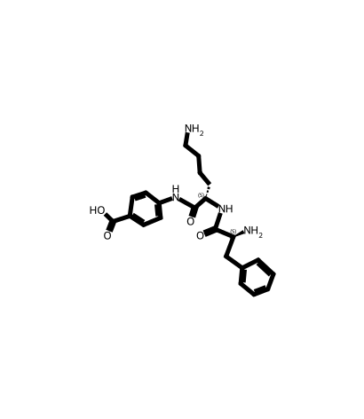 NCCCC[C@H](NC(=O)[C@@H](N)Cc1ccccc1)C(=O)Nc1ccc(C(=O)O)cc1